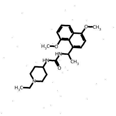 CCN1CCC(NC(=O)NC(C)c2ccc(OC)c3cccc(OC)c23)CC1